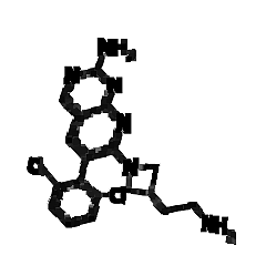 NCCC1CN(c2nc3nc(N)ncc3cc2-c2c(Cl)cccc2Cl)C1